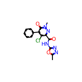 Cc1nnc(NC(=O)c2nn(C)c(=O)c(-c3ccccc3)c2Cl)o1